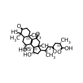 C[C@H](CC(=O)C[C@H](C)C(=O)O)C1C[C@H](O)[C@@]2(S)C3=C(C(=O)C[C@]12C)[C@@]1(C)CCC(=O)[C@@](C)(S)C1C[C@@H]3O